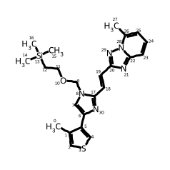 Cc1cscc1-c1cn(COCC[Si](C)(C)C)c(/C=C/c2nc3cccc(C)n3n2)n1